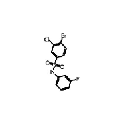 O=S(=O)(Nc1cccc(F)c1)c1ccc(Br)c(Cl)c1